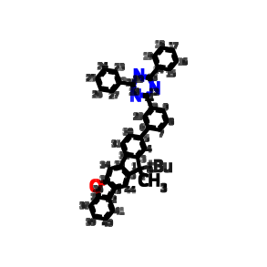 CC(C)(C)C1(C)c2cc(-c3cccc(-c4nc(-c5ccccc5)nc(-c5ccccc5)n4)c3)ccc2-c2cc3oc4ccccc4c3cc21